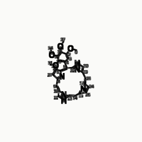 COc1cc(-c2c3nc(cc4ccc(cc5nc(cc6ccc2[nH]6)C=C5)[nH]4)C=C3)c(OC)c(OC)c1OC